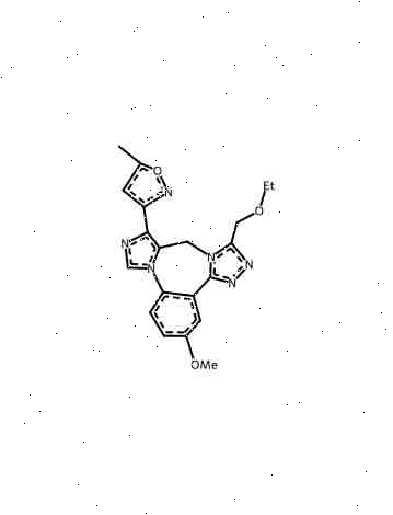 CCOCc1nnc2n1Cc1c(-c3cc(C)on3)ncn1-c1ccc(OC)cc1-2